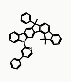 CC1(C)c2ccccc2-c2ccc3c(c21)-c1cc2c(cc1C3(C)c1ccccc1)c1ccccc1n2-c1cc(-c2ccccc2)ccn1